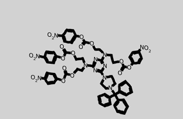 O=C(OCCN(CCOC(=O)Oc1ccc([N+](=O)[O-])cc1)c1nc(N(CCOC(=O)Oc2ccc([N+](=O)[O-])cc2)CCOC(=O)Oc2ccc([N+](=O)[O-])cc2)nc(N2CCN(C(c3ccccc3)(c3ccccc3)c3ccccc3)CC2)n1)Oc1ccc([N+](=O)[O-])cc1